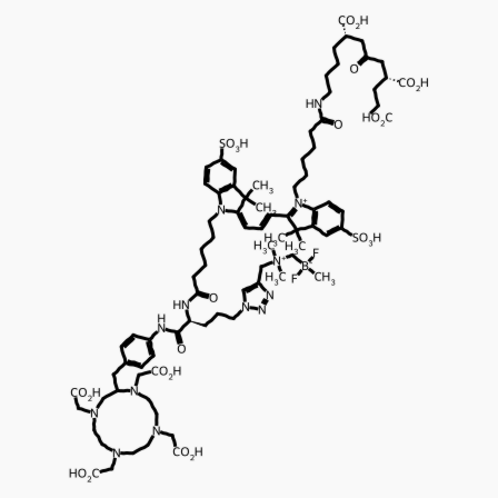 C[B-](F)(F)C[N+](C)(C)Cc1cn(CCC[C@H](NC(=O)CCCCCN2/C(=C/C=C/C3=[N+](CCCCCC(=O)NCCCC[C@@H](CC(=O)C[C@@H](CCC(=O)O)C(=O)O)C(=O)O)c4ccc(S(=O)(=O)O)cc4C3(C)C)C(C)(C)c3cc(S(=O)(=O)O)ccc32)C(=O)Nc2ccc(CC3CN(CC(=O)O)CCN(CC(=O)O)CCN(CC(=O)O)CCN3CC(=O)O)cc2)nn1